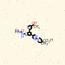 CCNC(=O)Nc1nc2cc(-c3cnc(N4CCC(C)(C(=O)O)CC4)nc3)cc(-c3cc(C(C)O)ccn3)c2s1